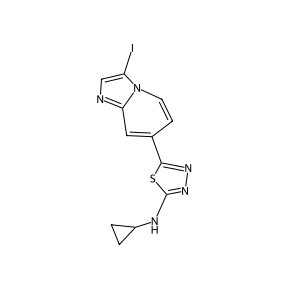 Ic1cnc2cc(-c3nnc(NC4CC4)s3)ccn12